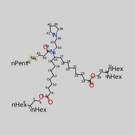 CCCCCCC(CCCCCC)CCOC(=O)CCCCCCCCC(CCCCCCCCC(=O)OCCC(CCCCCC)CCCCCC)N(CCCN1CCCC1)C(=O)CCSSCCCCC